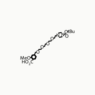 COc1cc(COCCOCCOCCOCCN2CCN(C(=O)OC(C)(C)C)CC2)ccc1C(=O)O